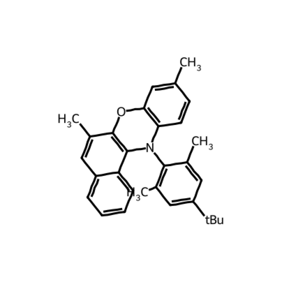 Cc1ccc2c(c1)Oc1c(C)cc3ccccc3c1N2c1c(C)cc(C(C)(C)C)cc1C